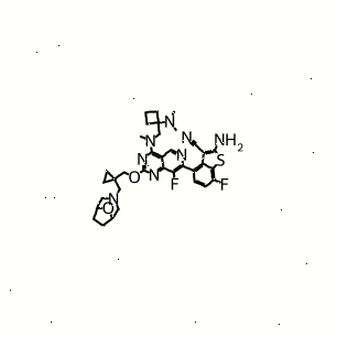 CN(CC1(N(C)C)CCC1)c1nc(OCC2(CN3CC4CCC(C3)O4)CC2)nc2c(F)c(-c3ccc(F)c4sc(N)c(C#N)c34)ncc12